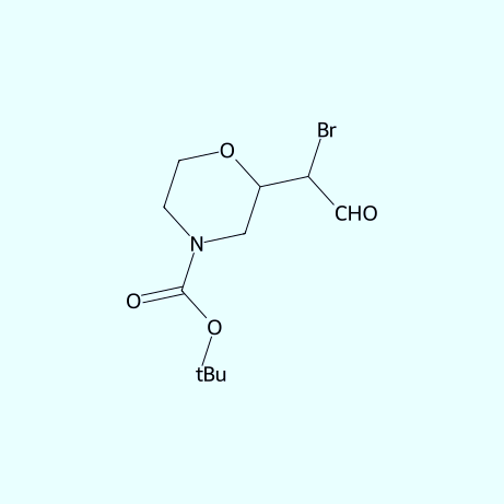 CC(C)(C)OC(=O)N1CCOC(C(Br)C=O)C1